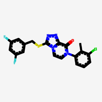 Cc1c(Cl)cccc1-n1ccn2c(SCc3cc(F)cc(F)c3)nnc2c1=O